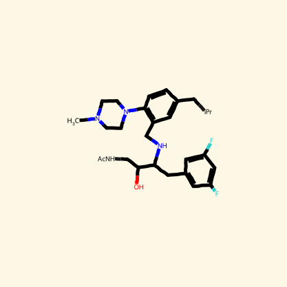 CC(=O)NCC(O)C(Cc1cc(F)cc(F)c1)NCc1cc(CC(C)C)ccc1N1CCN(C)CC1